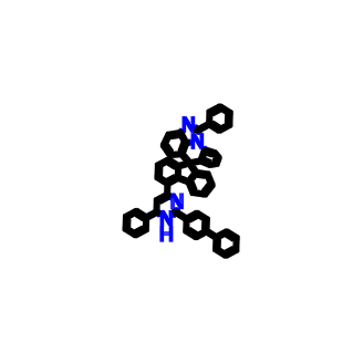 C1=C(c2cccc3c2-c2ccccc2C32c3ccccc3-n3c(-c4ccccc4)nc4cccc2c43)N=C(c2ccc(-c3ccccc3)cc2)NC1c1ccccc1